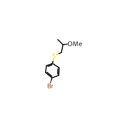 COC(C)CSc1ccc(Br)cc1